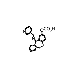 O=C(O)Oc1ccc2c(c1)C(=NCc1cccnc1)c1ccccc1CO2